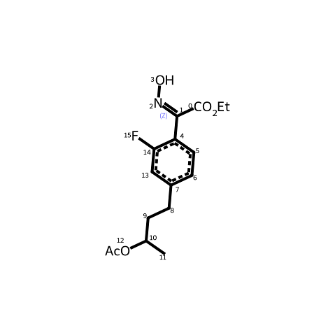 CCOC(=O)/C(=N\O)c1ccc(CCC(C)OC(C)=O)cc1F